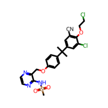 CC(C)(c1ccc(OCc2nccnc2NS(C)(=O)=O)cc1)c1cc(Cl)c(OCCCl)c(C#N)c1